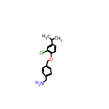 CC(C)c1ccc(OCc2ccc(CN)cc2)c(Cl)c1